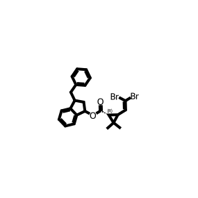 CC1(C)C(C=C(Br)Br)[C@H]1C(=O)OC1CC(Cc2ccccc2)c2ccccc21